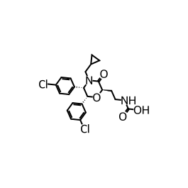 O=C(O)NCC[C@H]1O[C@H](c2cccc(Cl)c2)[C@H](c2ccc(Cl)cc2)N(CC2CC2)C1=O